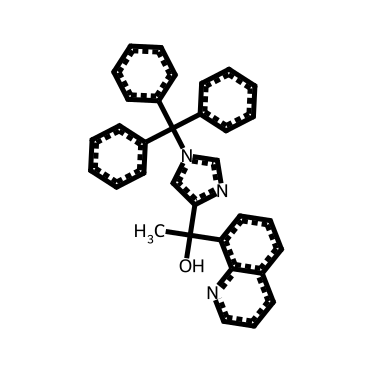 CC(O)(c1cn(C(c2ccccc2)(c2ccccc2)c2ccccc2)cn1)c1cccc2cccnc12